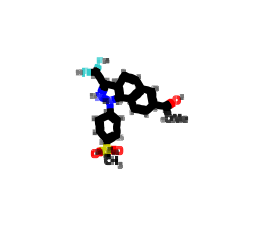 COC(=O)c1ccc2c(ccc3c(C(F)F)nn(-c4ccc(S(C)(=O)=O)cc4)c32)c1